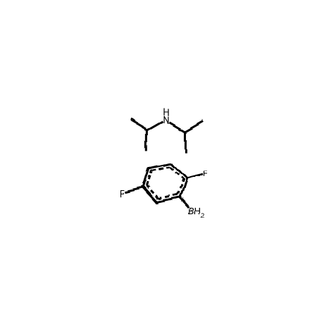 Bc1cc(F)ccc1F.CC(C)NC(C)C